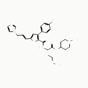 CSCC[C@H](NC(=O)c1sc(C=CCn2ccnc2)cc1-c1ccc(F)cc1)C(=O)OC1CCN(C)CC1